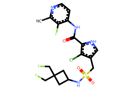 N#Cc1nccc(NC(=O)c2[nH]cc(CS(=O)(=O)NC3CC(CF)(CF)C3)c2Cl)c1F